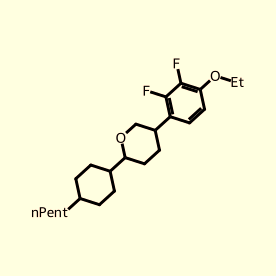 CCCCCC1CCC(C2CCC(c3ccc(OCC)c(F)c3F)CO2)CC1